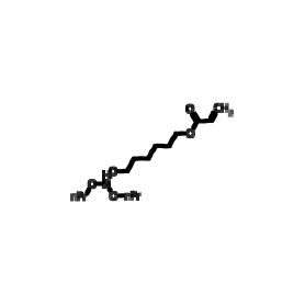 C=CC(=O)OCCCCCCO[SiH](OCCC)OCCC